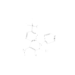 CNC1=C(Br)C(O)N(c2ccccc2)c2nc(C(F)(F)F)ccc21